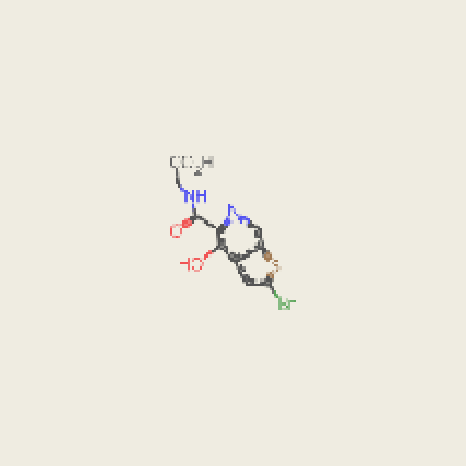 O=C(O)CNC(=O)c1ncc2sc(Br)cc2c1O